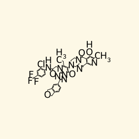 CCc1c(N2CCN(C(=O)c3c(C#N)cnc(C)c3O)CC2)c(=O)n2nc(-c3ccc4c(c3)COC4)nc2n1CC(=O)Nc1ccc(C(F)(F)F)cc1Cl